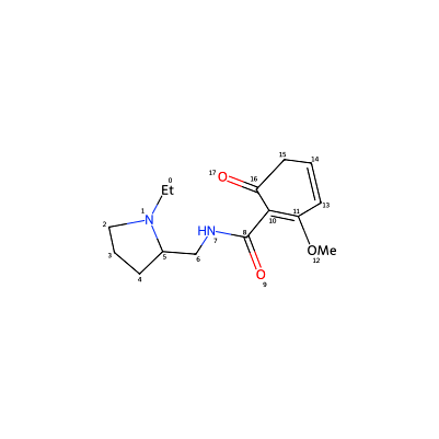 CCN1CCCC1CNC(=O)C1=C(OC)C=CCC1=O